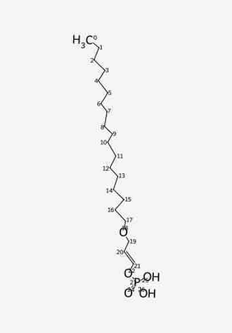 CCCCCCCCCCCCCCCCCCOCC=COP(=O)(O)O